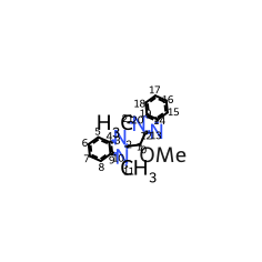 COC(c1nc2ccccc2n1C)c1nc2ccccc2n1C